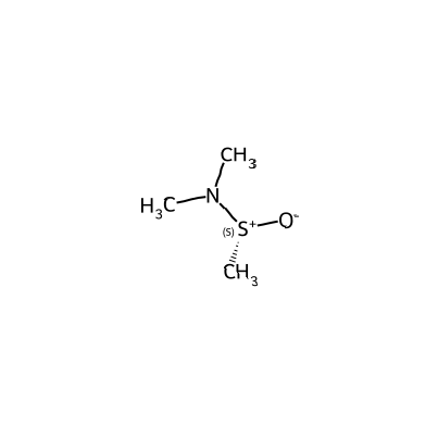 CN(C)[S@@+](C)[O-]